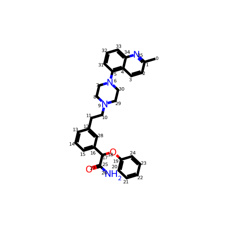 Cc1ccc2c(N3CCN(CCc4cccc(C(Oc5ccccc5)C(N)=O)c4)CC3)cccc2n1